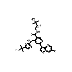 CC(C)(O)c1cnc([AsH]c2cc(-c3cnn4cc(Cl)cnc34)ncc2C(=O)NC[C@@H](F)C(C)(C)O)s1